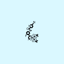 C[C@@H]1CC(c2cc(N(C)C(=O)c3ccc(C#N)cn3)ccc2F)N=C(N(C(=O)OC(C)(C)C)C(=O)OC(C)(C)C)O1